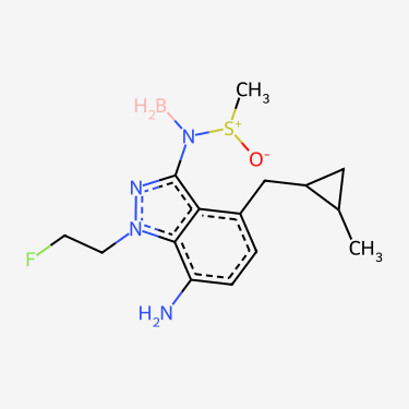 BN(c1nn(CCF)c2c(N)ccc(CC3CC3C)c12)[S+](C)[O-]